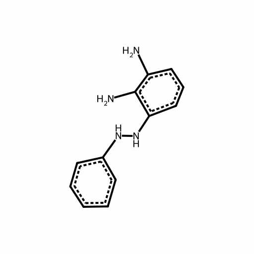 Nc1cccc(NNc2ccccc2)c1N